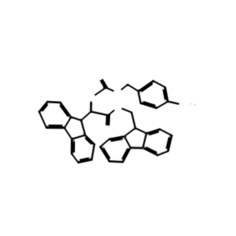 COc1ccc(COC(=O)OC(C(=O)OCC2c3ccccc3-c3ccccc32)C2c3ccccc3-c3ccccc32)cc1